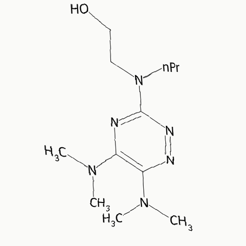 CCCN(CCO)c1nnc(N(C)C)c(N(C)C)n1